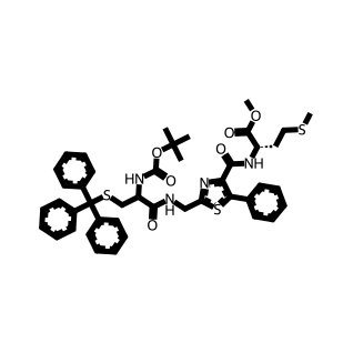 COC(=O)[C@H](CCSC)NC(=O)c1nc(CNC(=O)C(CSC(c2ccccc2)(c2ccccc2)c2ccccc2)NC(=O)OC(C)(C)C)sc1-c1ccccc1